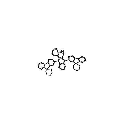 c1ccc2c(c1)-c1ccc(-c3c4ccccc4c(-c4ccc5c(c4)C4(CCCCC4)c4ccccc4-5)c4c3cnc3ccccc34)cc1C21CCCCC1